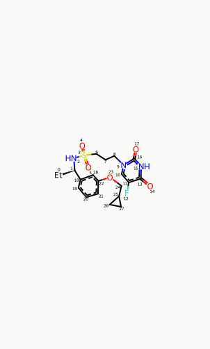 CC[C@@H](NS(=O)(=O)CCCn1cc(F)c(=O)[nH]c1=O)c1cccc(OCC2CC2)c1